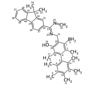 Bc1c(C)c(-c2c(C)c(C)c(C)c(C)c2C)c(C)c(O)c1C/N=C(\N=C)c1ccc2c(c1)C(C)(C)c1ccccc1-2